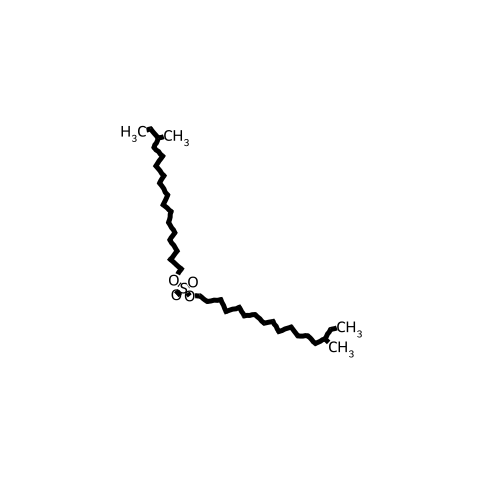 CCC(C)CCCCCCCCCCCCCCOS(=O)(=O)OCCCCCCCCCCCCCCC(C)CC